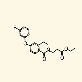 CCOC(=O)CCN1CCc2cc(Oc3cccc(F)c3)ccc2C1=O